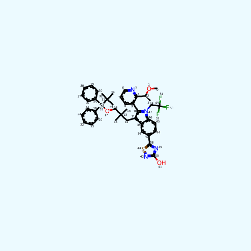 CO[C@@H](C)c1ncccc1-c1c(CC(C)(C)CO[Si](c2ccccc2)(c2ccccc2)C(C)(C)C)c2cc(-c3nc(O)ns3)ccc2n1CC(F)(F)F